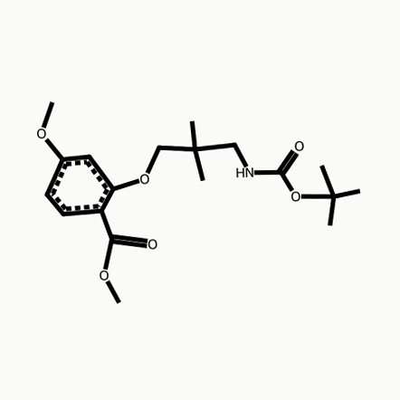 COC(=O)c1ccc(OC)cc1OCC(C)(C)CNC(=O)OC(C)(C)C